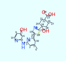 Cc1cc(Nc2cc(O)ccn2)nc(-c2cnc(C3(O)CCC(C(=O)O)C(C)C3)s2)c1